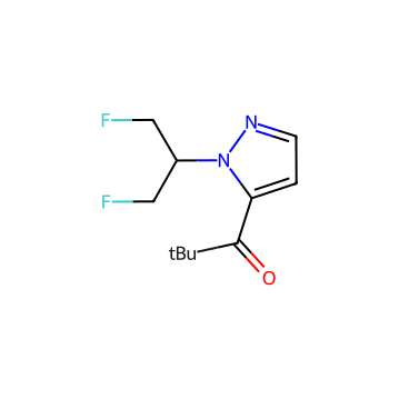 CC(C)(C)C(=O)c1ccnn1C(CF)CF